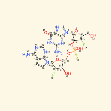 Nc1nc2c(ncn2[C@@H]2OC(CO)=C(F)[C@H]2OP(O)(=S)OC[C@H]2O[C@@H](n3ccc4c(N)ncnc43)[C@@H](F)[C@@H]2O)c(=O)[nH]1